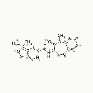 CN1C(=O)C(NC(=O)c2cc3c(cn2)COC3(C)C)COc2ccccc21